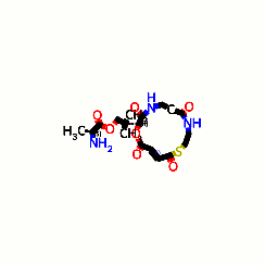 C[C@H](N)C(=O)OCC(C)(C)[C@H]1OC(=O)/C=C/C(=O)SCCNC(=O)CCNC1=O